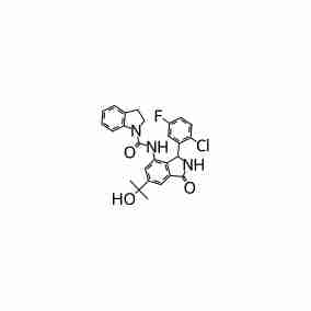 CC(C)(O)c1cc(NC(=O)N2CCc3ccccc32)c2c(c1)C(=O)NC2c1cc(F)ccc1Cl